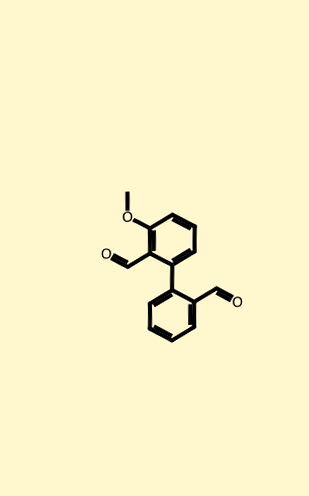 COc1cccc(-c2ccccc2C=O)c1C=O